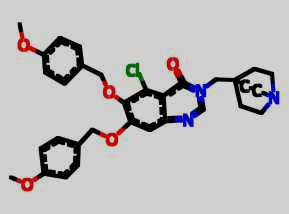 COc1ccc(COc2cc3ncn(CC45CCN(CC4)CC5)c(=O)c3c(Cl)c2OCc2ccc(OC)cc2)cc1